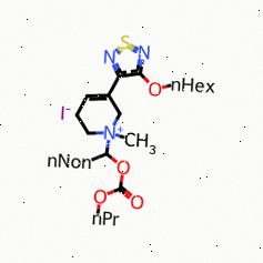 CCCCCCCCCC(OC(=O)OCCC)[N+]1(C)CCC=C(c2nsnc2OCCCCCC)C1.[I-]